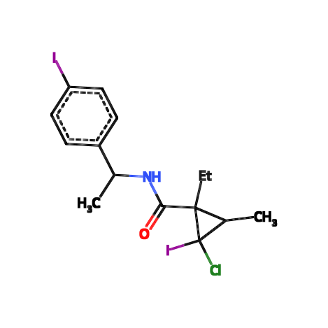 CCC1(C(=O)NC(C)c2ccc(I)cc2)C(C)C1(Cl)I